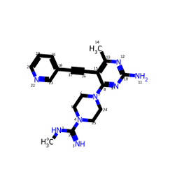 CNC(=N)N1CCN(c2nc(N)nc(C)c2C#Cc2cccnc2)CC1